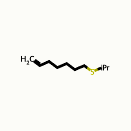 C=CCCCCCSC(C)C